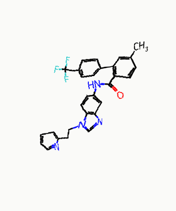 Cc1ccc(C(=O)Nc2ccc3c(c2)ncn3CCc2ccccn2)c(-c2ccc(C(F)(F)F)cc2)c1